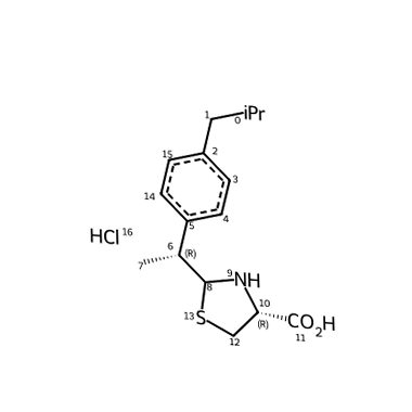 CC(C)Cc1ccc([C@@H](C)C2N[C@H](C(=O)O)CS2)cc1.Cl